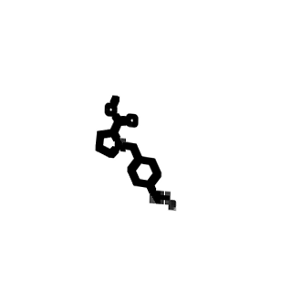 COC(=O)C1CCCN1CC1CCC(N)CC1